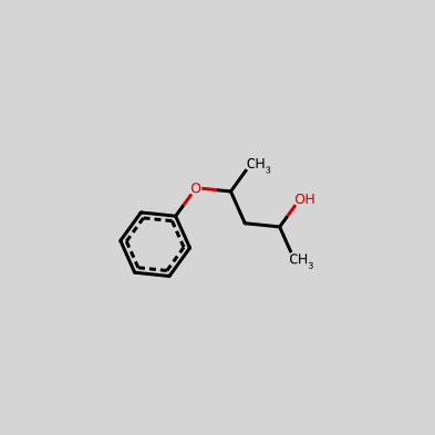 CC(O)CC(C)Oc1ccccc1